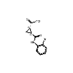 COC(=O)[C@H]1C[C@@H]1C(=O)Nc1ccccc1Br